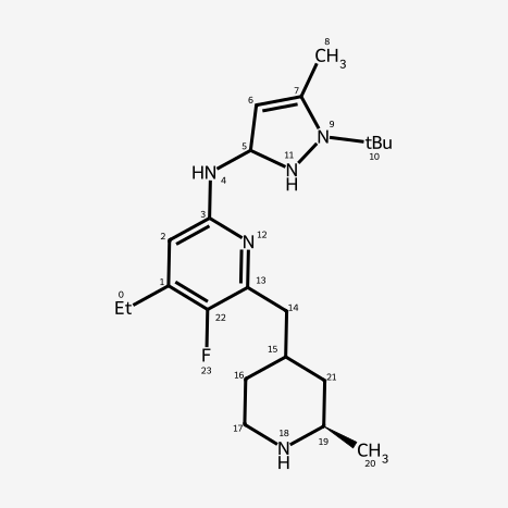 CCc1cc(NC2C=C(C)N(C(C)(C)C)N2)nc(CC2CCN[C@H](C)C2)c1F